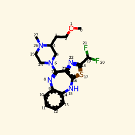 COCCC1CN(C2=Nc3ccccc3Nc3sc(C(F)F)nc32)CCN1C